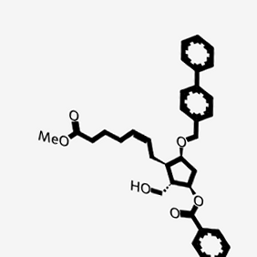 COC(=O)CCC/C=C\C[C@@H]1[C@@H](CO)[C@H](OC(=O)c2ccccc2)C[C@@H]1OCc1ccc(-c2ccccc2)cc1